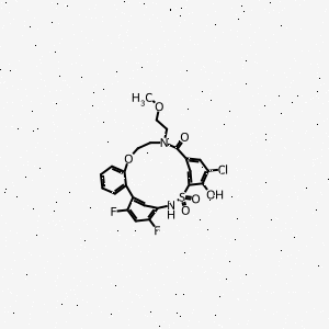 COCCN1CCOc2ccccc2-c2cc(c(F)cc2F)NS(=O)(=O)c2cc(cc(Cl)c2O)C1=O